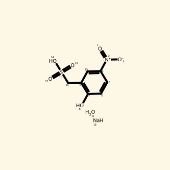 O.O=[N+]([O-])c1ccc(O)c(CS(=O)(=O)O)c1.[NaH]